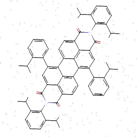 CC(C)c1ccccc1-c1cc2c3c(ccc4c5c(-c6ccccc6C(C)C)cc6c7c(ccc(c1c34)c75)C(=O)N(c1c(C(C)C)cccc1C(C)C)C6=O)C(=O)N(c1c(C(C)C)cccc1C(C)C)C2=O